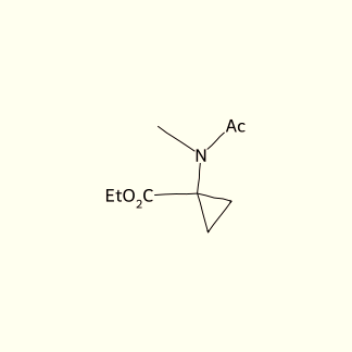 CCOC(=O)C1(N(C)C(C)=O)CC1